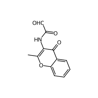 Cc1oc2ccccc2c(=O)c1NC(=O)C=O